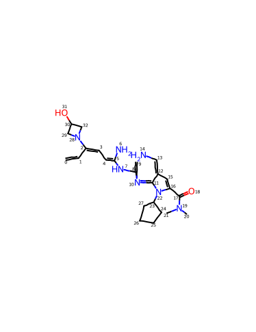 C=C/C(=C\C=C(/N)NC(=C)/N=C1\C(=C/N)C=C(C(=O)N(C)C)N1C1CCCC1)N1CC(O)C1